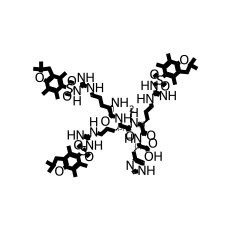 Cc1c(C)c(S(=O)(=O)NC(=N)NCCC[C@H](NC(=O)[C@H](CCCNC(=N)NS(=O)(=O)c2c(C)c(C)c3c(c2C)CC(C)(C)O3)NC(=O)[C@@H](N)CCCNC(=N)NS(=O)(=O)c2c(C)c(C)c3c(c2C)CC(C)(C)O3)C(=O)N[C@@H](Cc2c[nH]cn2)C(=O)O)c(C)c2c1OC(C)(C)C2